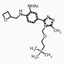 CC(=O)Nc1cc(-c2nnc(C)n2COCC[Si](C)(C)C)ccc1NCC1CCO1